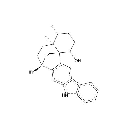 CC(C)[C@@]12CC[C@@]3(C)[C@H](C)CC[C@H](O)[C@]3(CC1)c1cc3c(cc12)[nH]c1ccccc13